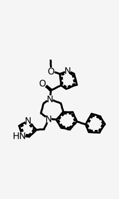 COc1ncccc1C(=O)N1CCN(Cc2c[nH]cn2)c2ccc(-c3ccccc3)cc2C1